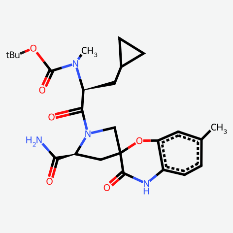 Cc1ccc2c(c1)OC1(C[C@@H](C(N)=O)N(C(=O)[C@H](CC3CC3)N(C)C(=O)OC(C)(C)C)C1)C(=O)N2